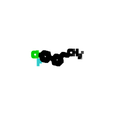 [CH2]CCc1cccc(-c2ccc(Cl)c(F)c2)c1